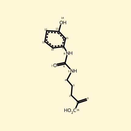 C=C(CCCNC(=O)Nc1cccc(O)c1)C(=O)O